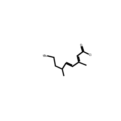 CC(C=CC(C)CCC(C)(C)C)=CC(=O)Cl